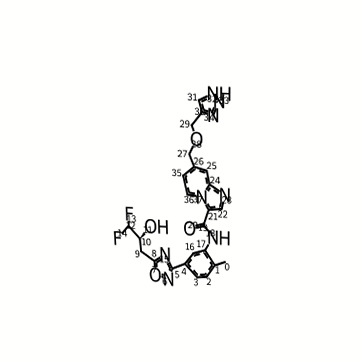 Cc1ccc(-c2noc(C[C@H](O)C(F)F)n2)cc1NC(=O)c1cnc2cc(COCc3c[nH]nn3)ccn12